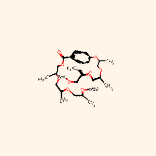 CCCCOC(C)COC(C)COC(C)COC(=O)c1ccc(OC(C)COC(C)COC(C)COC(C)CCC)cc1